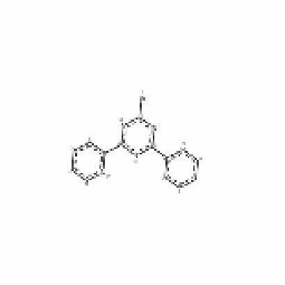 Brc1nc(-c2ccccn2)nc(-c2ccccn2)n1